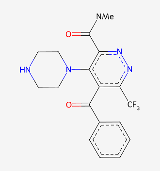 CNC(=O)c1nnc(C(F)(F)F)c(C(=O)c2ccccc2)c1N1CCNCC1